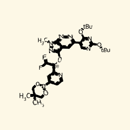 Cn1nc(O[C@H](c2cc(B3OCC(C)(C)CO3)ccn2)C(F)F)c2cc(-c3cnc(OC(C)(C)C)nc3OC(C)(C)C)nnc21